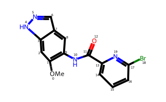 COc1cc2[nH]ncc2cc1NC(=O)c1cccc(Br)n1